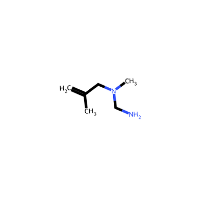 C=C(C)CN(C)CN